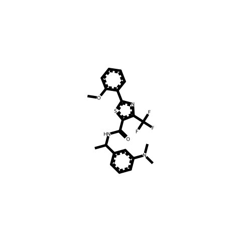 COc1ccccc1-c1nc(C(F)(F)F)c(C(=O)NC(C)c2cccc(N(C)C)c2)s1